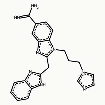 N=C(N)c1ccc2c(c1)nc(Cc1nc3ccccc3[nH]1)n2CCCn1ccnc1